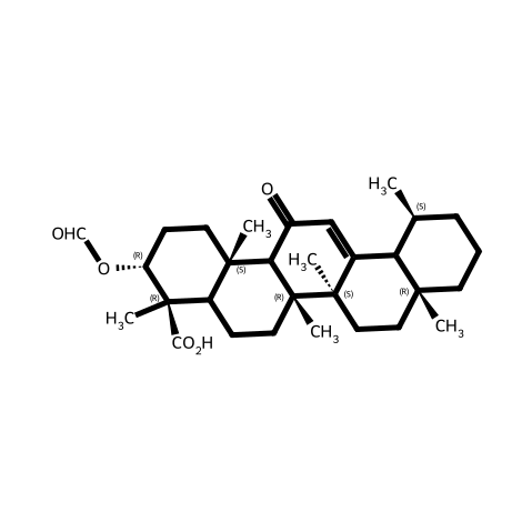 C[C@H]1CCC[C@]2(C)CC[C@]3(C)C(=CC(=O)C4[C@@]5(C)CC[C@@H](OC=O)[C@](C)(C(=O)O)C5CC[C@]43C)C12